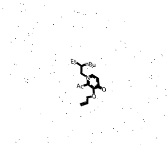 C=CCOc1c(C(C)=O)n(CC(CC)CCCC)ccc1=O